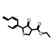 C=C/C=C\C(=C/C)C1SCC(C(=O)OCC)C1=O